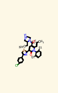 CCc1cccc(CC)c1-n1c(C=C(C)C)c(C(=O)N2CCNCC2COC)cc(-c2nc(-c3ccc(Cl)cc3)cs2)c1=O